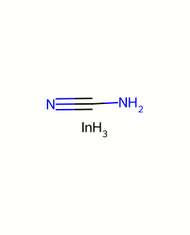 N#CN.[InH3]